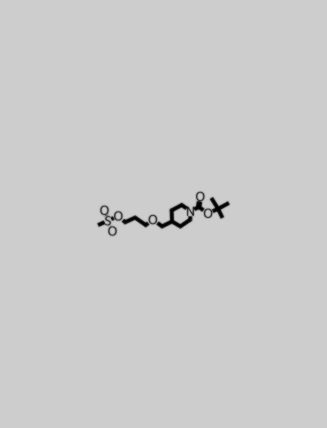 CC(C)(C)OC(=O)N1CCC(COCCCOS(C)(=O)=O)CC1